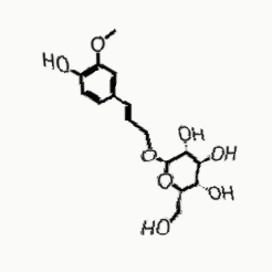 COc1cc(/C=C/CO[C@@H]2O[C@H](CO)[C@@H](O)[C@H](O)[C@H]2O)ccc1O